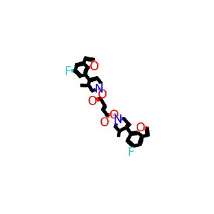 CC1CN(OC(=O)/C=C/C(=O)ON2CC=C(c3cc(F)cc4ccoc34)C(C)C2)CC=C1c1cc(F)cc2ccoc12